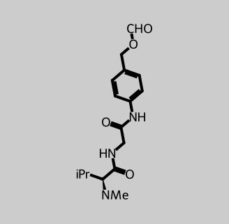 CN[C@H](C(=O)NCC(=O)Nc1ccc(COC=O)cc1)C(C)C